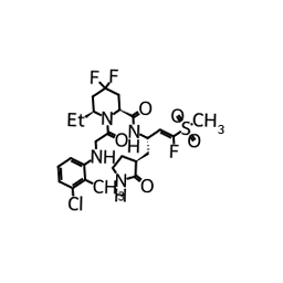 CC[C@H]1CC(F)(F)C[C@@H](C(=O)N[C@H](/C=C(\F)S(C)(=O)=O)C[C@@H]2CCNC2=O)N1C(=O)CNc1cccc(Cl)c1C